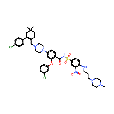 CN1CCN(CCCNc2ccc(S(=O)(=O)NC(=O)c3ccc(N4CCN(CC5=C(c6ccc(Cl)cc6)CC(C)(C)CC5)CC4)cc3Oc3cccc(Cl)c3)cc2[N+](=O)[O-])CC1